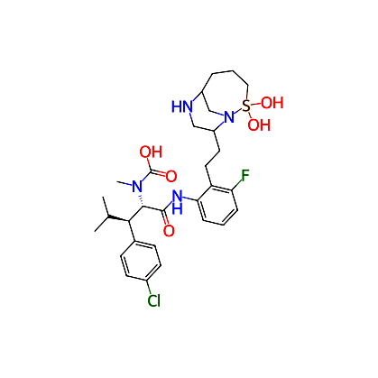 CC(C)[C@H](c1ccc(Cl)cc1)[C@@H](C(=O)Nc1cccc(F)c1CCC1CNC2CCCS(O)(O)N1C2)N(C)C(=O)O